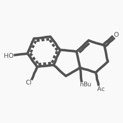 CCCCC12Cc3c(ccc(O)c3Cl)C1=CC(=O)CC2C(C)=O